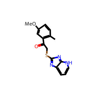 COc1ccc(C)c(C(=O)CSc2nc3ccc[nH]c-3n2)c1